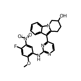 COc1cc(F)c([N+](=O)[O-])cc1Nc1nccc(-c2c3n(c4ccccc24)CC(O)CC3)n1